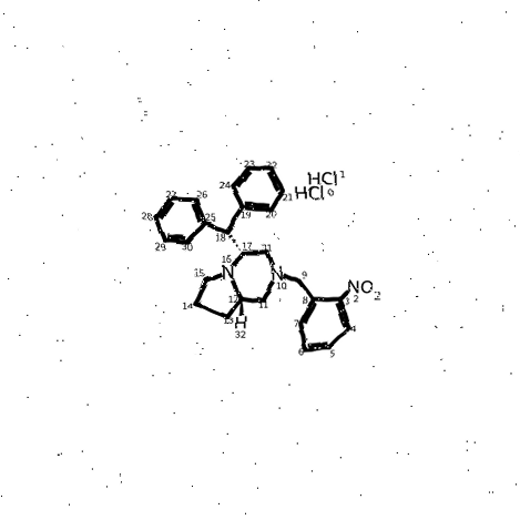 Cl.Cl.O=[N+]([O-])c1ccccc1CN1C[C@@H]2CCCN2[C@H](C(c2ccccc2)c2ccccc2)C1